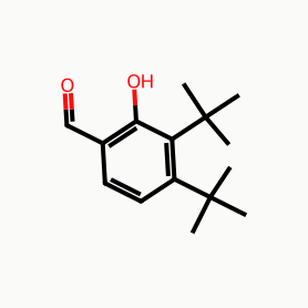 CC(C)(C)c1ccc(C=O)c(O)c1C(C)(C)C